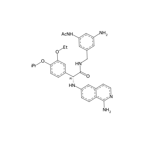 CCOc1cc([C@@H](Nc2ccc3c(N)nccc3c2)C(=O)NCc2cc(N)cc(NC(C)=O)c2)ccc1OC(C)C